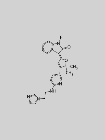 CC1(C)OC(=C2C(=O)N(F)c3ccccc32)C=C1c1ccc(NCCn2ccnc2)nc1